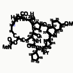 CNC(=O)OC1CC/C=C\[C@@H]2C[C@@]2(C(=O)O)NC(=O)[C@@H]2C[C@@H](Oc3cc(-c4csc(NC(C)C)n4)nc4cc(OC)ccc34)CN2C(=O)[C@@H](NC(=O)OC2CCCC2)CC1